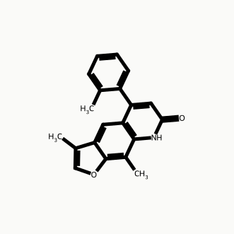 Cc1ccccc1-c1cc(=O)[nH]c2c(C)c3occ(C)c3cc12